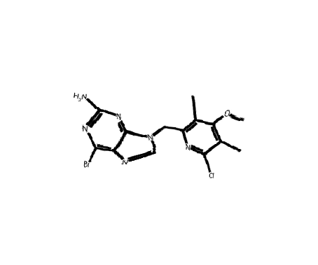 COc1c(C)c(Cl)nc(Cn2cnc3c(Br)nc(N)nc32)c1C